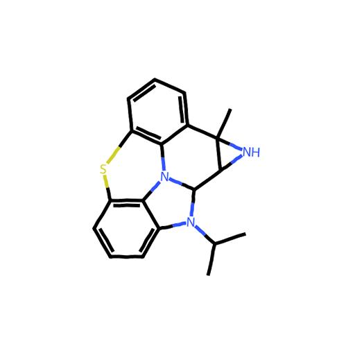 CC(C)N1c2cccc3c2N2c4c(cccc4C4(C)NC4C21)S3